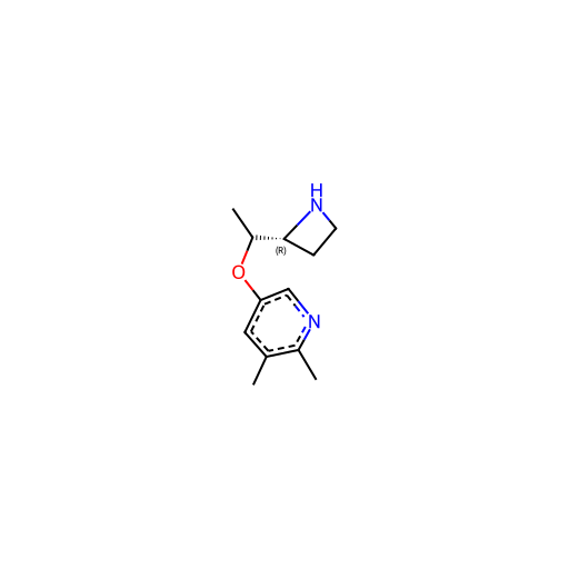 Cc1cc(OC(C)[C@H]2CCN2)cnc1C